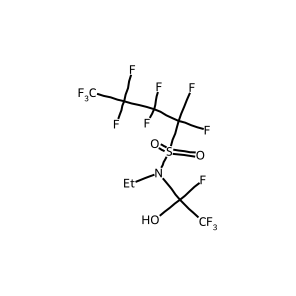 CCN(C(O)(F)C(F)(F)F)S(=O)(=O)C(F)(F)C(F)(F)C(F)(F)C(F)(F)F